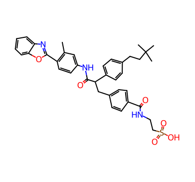 Cc1cc(NC(=O)C(Cc2ccc(C(=O)NCCS(=O)(=O)O)cc2)c2ccc(CCC(C)(C)C)cc2)ccc1-c1nc2ccccc2o1